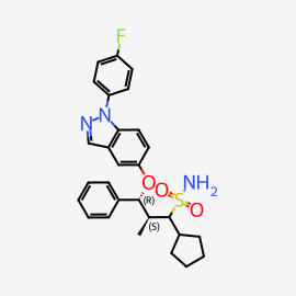 C[C@H](C(C1CCCC1)S(N)(=O)=O)[C@@H](Oc1ccc2c(cnn2-c2ccc(F)cc2)c1)c1ccccc1